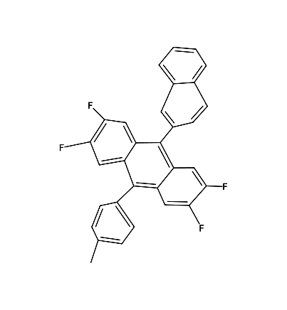 Cc1ccc(-c2c3cc(F)c(F)cc3c(-c3ccc4ccccc4c3)c3cc(F)c(F)cc23)cc1